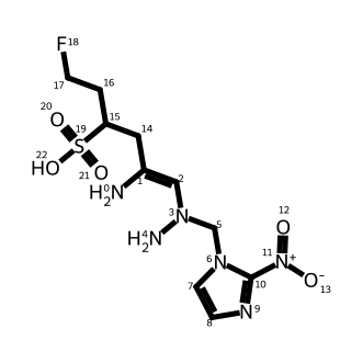 N/C(=C\N(N)Cn1ccnc1[N+](=O)[O-])CC(CCF)S(=O)(=O)O